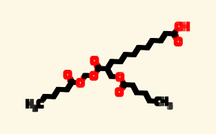 CCCCCC(=O)OCOC(=O)C(CCCCCCCCCC(=O)O)COC(=O)CCCCC